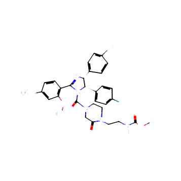 COc1ccc(C2=N[C@@H](c3ccc(Cl)cc3)[C@@H](c3ccc(Cl)cc3)N2C(=O)N2CCN(CCNC(=O)OC(C)(C)C)C(=O)C2)c(OC(C)C)c1